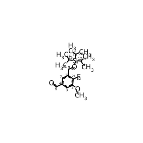 COc1cc(C=O)cc(CO[Si](C(C)C)(C(C)C)C(C)C)c1F